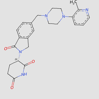 Cc1ncccc1N1CCN(Cc2ccc3c(c2)CN([C@H]2CCC(=O)NC2=O)C3=O)CC1